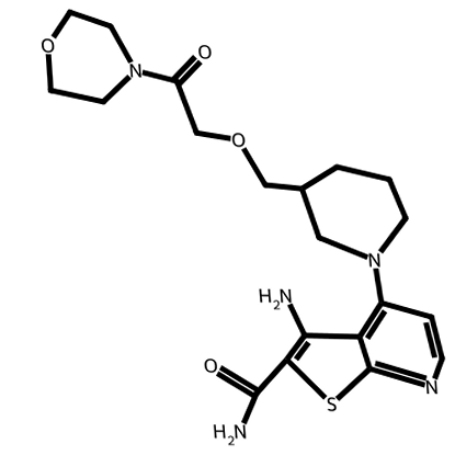 NC(=O)c1sc2nccc(N3CCCC(COCC(=O)N4CCOCC4)C3)c2c1N